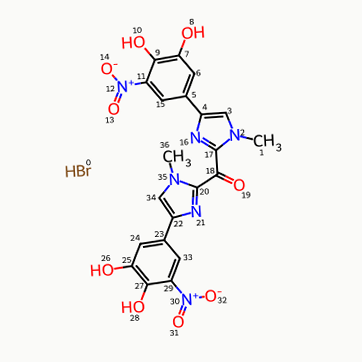 Br.Cn1cc(-c2cc(O)c(O)c([N+](=O)[O-])c2)nc1C(=O)c1nc(-c2cc(O)c(O)c([N+](=O)[O-])c2)cn1C